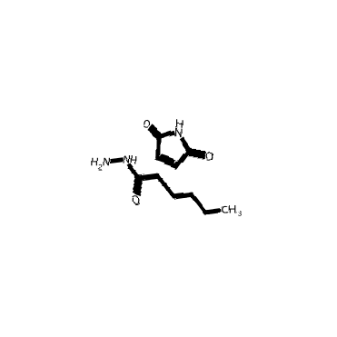 CCCCCC(=O)NN.O=C1C=CC(=O)N1